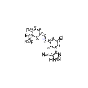 N#Cc1[nH]nnc1-c1cc(Cl)cc(/C=C/c2ccc(F)c(C(F)(F)F)c2)c1